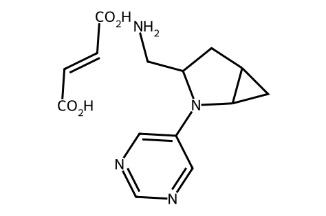 NCC1CC2CC2N1c1cncnc1.O=C(O)/C=C/C(=O)O